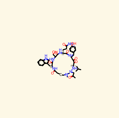 CC(=O)CN1CN(C)CCCC(=O)N[C@@H](Cc2c[nH]c3ccccc23)C(=O)NC(CO)C(=O)N[C@@H](CCC(N)=O)C(=O)NC(Cc2ccc(O)cc2)C(=O)C(=O)[C@H](CC(C)C)N1